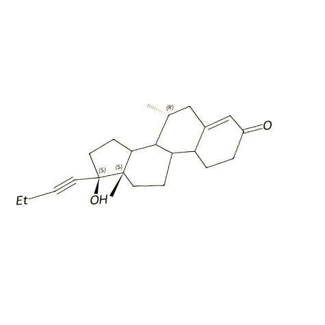 CCC#C[C@]1(O)CCC2C3C(CC[C@@]21C)C1CCC(=O)C=C1C[C@H]3C